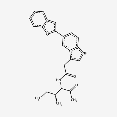 CC[C@H](C)[C@H](NC(=O)Cc1c[nH]c2ccc(-c3cc4ccccc4o3)cc12)C(C)=O